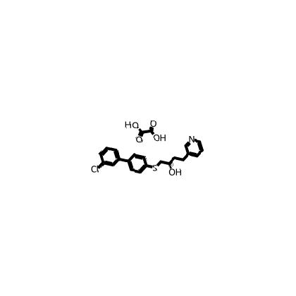 O=C(O)C(=O)O.O[C@H](CCc1cccnc1)CSc1ccc(-c2cccc(Cl)c2)cc1